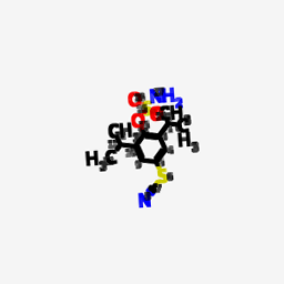 CC(C)c1cc(SC#N)cc(C(C)C)c1OS(N)(=O)=O